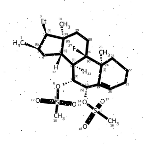 CC[C@@H]1[C@H](C)C[C@H]2[C@@H]3[C@@H](OS(C)(=O)=O)[C@@H](OS(C)(=O)=O)C4=CCCC[C@]4(C)[C@@]3(F)CC[C@]12C